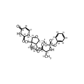 B[C@]1(Cl)[C@H](O)[C@@H](COP(=O)(N[C@@H](C)C(=O)OC(C)C)Oc2ccccc2)O[C@H]1n1ccc(=O)[nH]c1=O